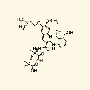 CCc1c(CO)cccc1Nc1nc2cc(OC)c(OCCN(C)C)cc2cc1C(N)=O.O=C(O)C(F)(F)F.O=C(O)C(F)(F)F